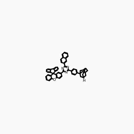 c1ccc2c(c1)Oc1ccc(-c3nc(-c4ccc(C56CC7C8C[C@@H](C5)CC7(C8)C6)cc4)nc(-c4ccc5ccccc5c4)n3)cc1C21c2ccccc2-c2ccccc21